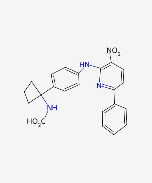 O=C(O)NC1(c2ccc(Nc3nc(-c4ccccc4)ccc3[N+](=O)[O-])cc2)CCC1